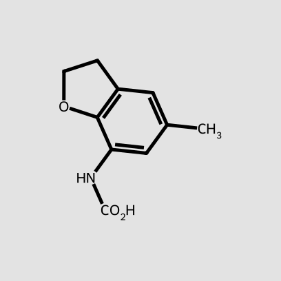 Cc1cc2c(c(NC(=O)O)c1)OCC2